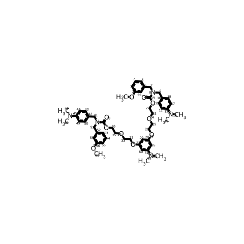 COc1cccc(CN(Cc2ccc(N(C)C)cc2)C(=O)OCCOCCOc2cc(OCCOCCOC(=O)N(Cc3ccc(N(C)C)cc3)Cc3cccc(OC)c3)cc(N(C)C)c2)c1